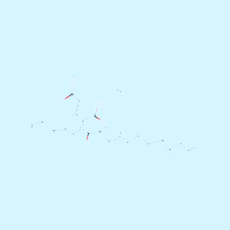 CCCCCCCCCCCC(=O)N(CCCCC)[C@@H](CCC(=O)[O-])C(=O)O.[Na+]